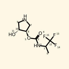 CC(NC(=O)O[C@@H]1CNC[C@H]1O)C(F)(F)F